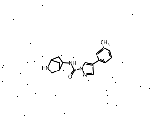 Cc1cccc(-c2cnn(C(=O)NC3CC4CC3CN4)c2)c1